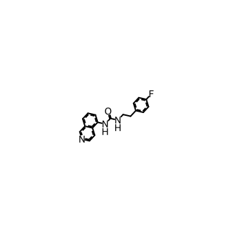 O=C(NCCc1ccc(F)cc1)Nc1cccc2cnccc12